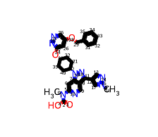 CN(C(=O)O)c1cc2c(cn1)c(-c1cnn(C)c1)nn2[C@H]1CC[C@@H](Oc2cc(OCc3ccccc3)cnn2)CC1